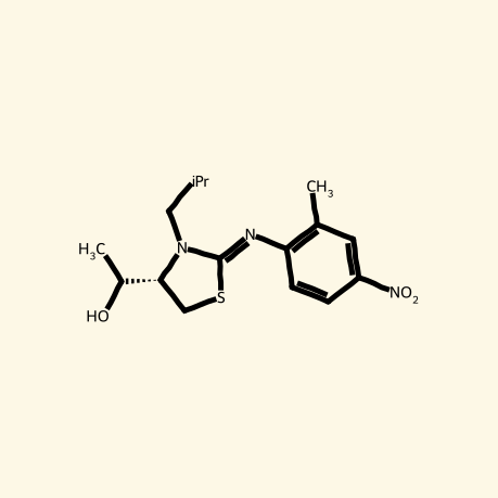 Cc1cc([N+](=O)[O-])ccc1/N=C1\SC[C@H](C(C)O)N1CC(C)C